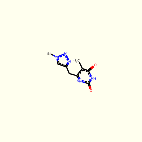 CCn1cc(Cc2[nH]c(=O)[nH]c(=O)c2C)nn1